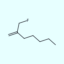 C=C(CF)CCCCC